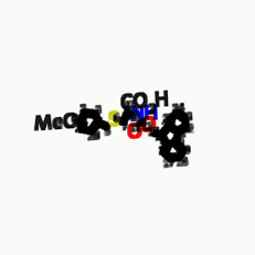 COc1ccc(CSC[C@H](NC(=O)OCC2c3ccccc3-c3ccccc32)C(=O)O)cc1